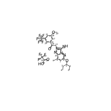 CCC(CC)Oc1cc(C)c2nn(CC(=O)c3cc(OC)cc(S(F)(F)(F)(F)F)c3)c(=N)n2n1.O=C(O)C(F)(F)F